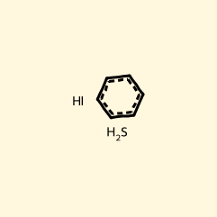 I.S.c1ccccc1